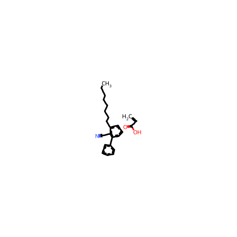 C=CC(=O)O.CCCCCCCCc1cccc(-c2ccccc2)c1C#N